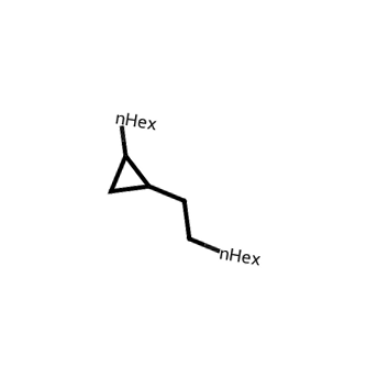 [CH2]CCCCCC1CC1CCCCCCCC